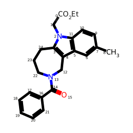 CCOC(=O)Cn1c2c(c3cc(C)ccc31)CN(C(=O)c1ccccc1)CCC2